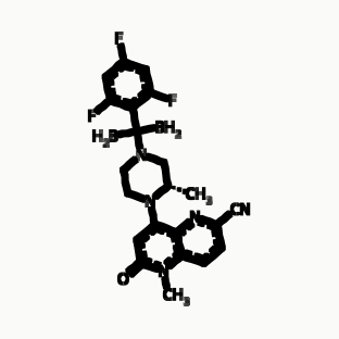 BC(B)(c1c(F)cc(F)cc1F)N1CCN(c2cc(=O)n(C)c3ccc(C#N)nc23)[C@@H](C)C1